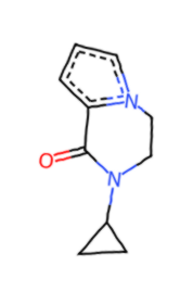 O=C1c2cccn2CCN1C1CC1